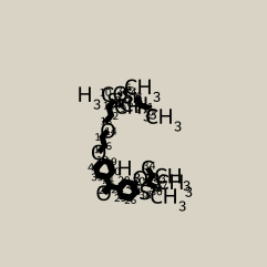 CCCC[Si](C)(C)O[Si](C)(C)CCCOCCOc1ccc(C(=O)c2ccc3c(c2)OC(C(C)C)(C(C)C)S3)cc1